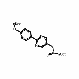 CCCCCCCCCCOc1ccc(-c2ncc(OC(=O)CCCCCCCC)cn2)cc1